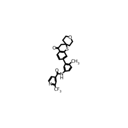 Cc1ccc(NC(=O)c2ccnc(C(F)(F)F)c2)cc1-c1ccc2c(c1)SC1(CCOCC1)CC2=O